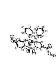 CC(C)(C)OC(=O)N1C[C@H](NS(=O)(=O)c2ccc(OC(F)(F)F)cc2)[C@@H](O)[C@H](n2c3ccccc3c3ccccc32)C1